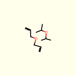 C=CCOCC=C.CC(C)OC(C)C